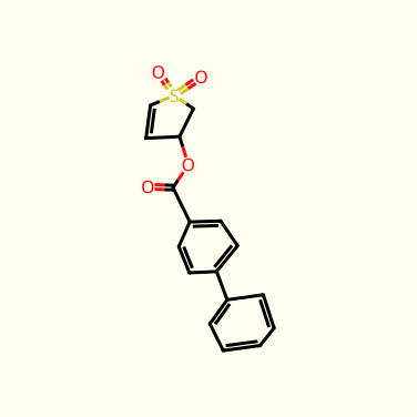 O=C(OC1C=CS(=O)(=O)C1)c1ccc(-c2ccccc2)cc1